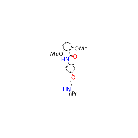 CCCNCCOc1ccc(NC(=O)c2c(OC)cccc2OC)cc1